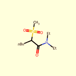 CCCCC(C(=O)N(CC)CC)S(C)(=O)=O